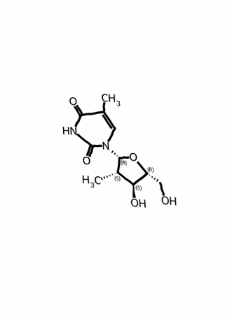 Cc1cn([C@@H]2O[C@H](CO)[C@@H](O)[C@@H]2C)c(=O)[nH]c1=O